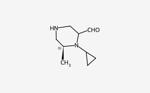 C[C@H]1CNCC(C=O)N1C1CC1